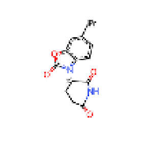 CC(C)c1ccc2c(c1)oc(=O)n2[C@H]1CCC(=O)NC1=O